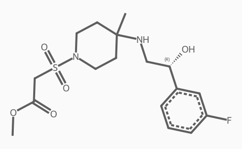 COC(=O)CS(=O)(=O)N1CCC(C)(NC[C@H](O)c2cccc(F)c2)CC1